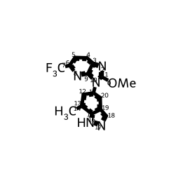 COc1nc2ccc(C(F)(F)F)nc2n1-c1cc(C)c2[nH]ncc2c1